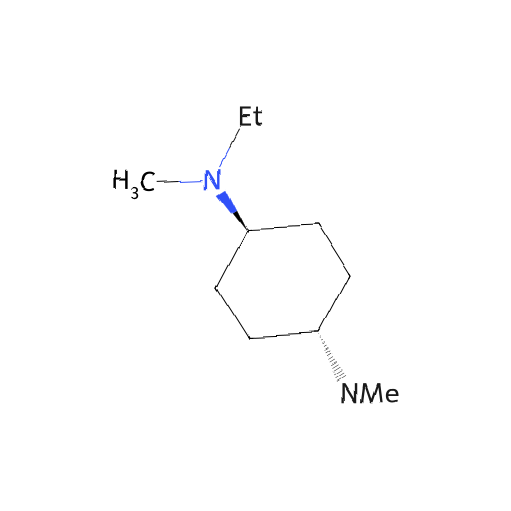 CCN(C)[C@H]1CC[C@H](NC)CC1